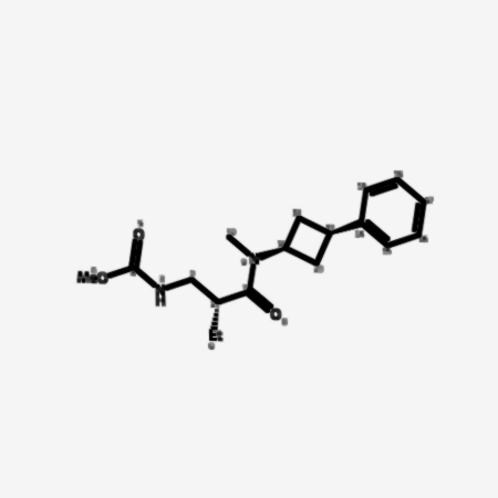 CC[C@H](CNC(=O)OC)C(=O)N(C)[C@H]1C[C@@H](c2ccccc2)C1